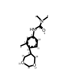 Cc1cc(NC(=O)N(C)C)ccc1C1COCOC1